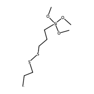 [CH2]CCSSCCC[Si](OC)(OC)OC